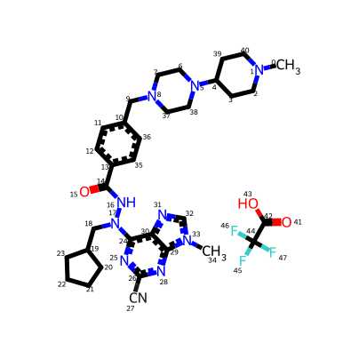 CN1CCC(N2CCN(Cc3ccc(C(=O)NN(CC4CCCC4)c4nc(C#N)nc5c4ncn5C)cc3)CC2)CC1.O=C(O)C(F)(F)F